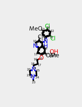 CC(C)O.COc1cc(Nc2c(C#N)cnc3cc(OCCCN4CCN(C)CC4)c(OC)cc23)c(Cl)cc1Cl